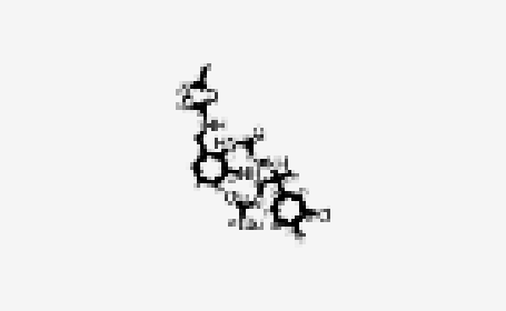 Cc1nnc(NCc2cccc(N)c2NC(=O)SNC(C)(COC(=O)C(C)(C)C)c2ccc(F)c(Cl)c2)o1